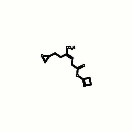 O=C(CC=C(CCC1CO1)C(=O)O)OC1=CCC1